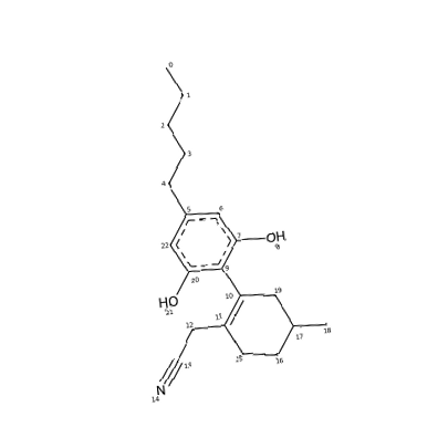 CCCCCc1cc(O)c(C2=C(CC#N)CCC(C)C2)c(O)c1